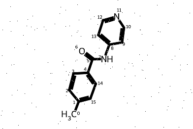 Cc1ccc(C(=O)Nc2ccncc2)cc1